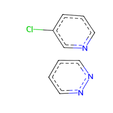 Clc1cccnc1.c1ccnnc1